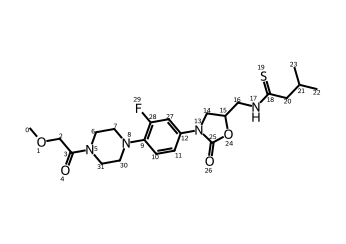 COCC(=O)N1CCN(c2ccc(N3CC(CNC(=S)CC(C)C)OC3=O)cc2F)CC1